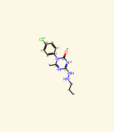 CCCNNc1nc(C)n(-c2ccc(Cl)cc2)c(=O)n1